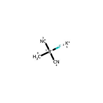 C[B-](F)(C#N)C#N.[K+]